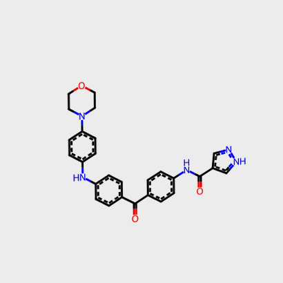 O=C(Nc1ccc(C(=O)c2ccc(Nc3ccc(N4CCOCC4)cc3)cc2)cc1)c1cn[nH]c1